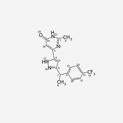 Cc1nc(-c2cc(C(C)c3ccc(C(F)(F)F)cc3)n[nH]2)cc(=O)[nH]1